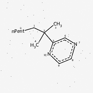 CCCCCCC(C)(C)c1cnccn1